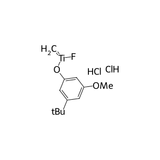 Cl.Cl.[CH2]=[Ti]([F])[O]c1cc(OC)cc(C(C)(C)C)c1